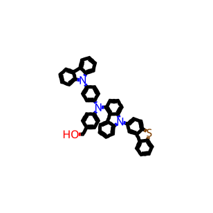 OCc1ccc(N(c2ccc(-n3c4ccccc4c4ccccc43)cc2)c2cccc3c2c2ccccc2n3-c2ccc3sc4ccccc4c3c2)cc1